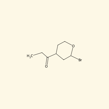 CCC(=O)C1CCOC(Br)C1